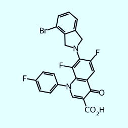 O=C(O)c1cn(-c2ccc(F)cc2)c2c(F)c(N3Cc4cccc(Br)c4C3)c(F)cc2c1=O